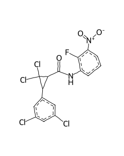 O=C(Nc1cccc([N+](=O)[O-])c1F)C1C(c2cc(Cl)cc(Cl)c2)C1(Cl)Cl